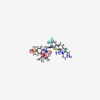 CN1CC[C@@H](Nc2cccc3c(CC(F)(F)F)c(C#CCN(C(=O)OC(C)(C)C)c4ccc(P(C)(C)=O)cc4OC4CC4)sc23)[C@@H](F)C1